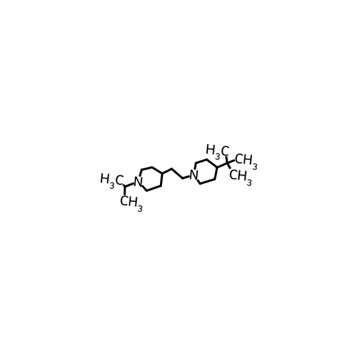 CC(C)N1CCC(CCN2CCC(C(C)(C)C)CC2)CC1